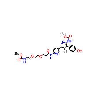 CCc1c(-c2ccc(NC(=O)CCOCCOCCNC(=O)OC(C)(C)C)nc2)cnc(NC(=O)OC(C)(C)C)c1-c1ccc(O)cc1